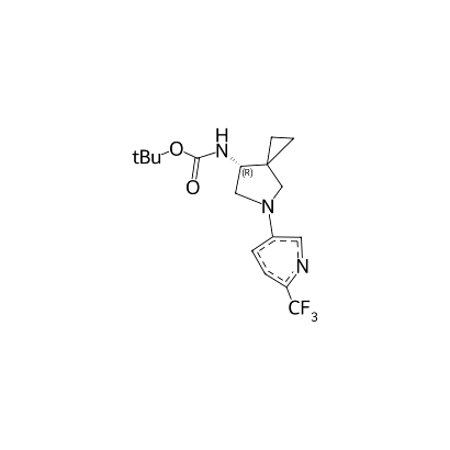 CC(C)(C)OC(=O)N[C@H]1CN(c2ccc(C(F)(F)F)nc2)CC12CC2